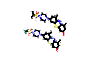 Cc1cc(=O)cc2sc3cc(N4CCN(S(=O)(=O)C(C)C)CC4)cc(C)c3nc1-2.Cc1cc(=O)cc2sc3cc(N4CCN(S(=O)(=O)C(F)(F)F)CC4)cc(C)c3nc1-2